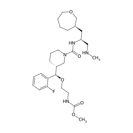 CNC[C@H](C[C@H]1CCCCOC1)NC(=O)N1CCC[C@@H]([C@@H](OCCNC(=O)OC)c2ccccc2F)C1